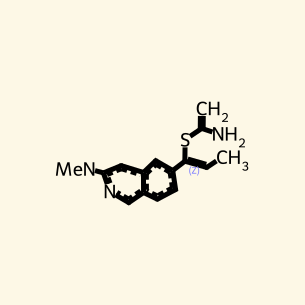 C=C(N)S/C(=C\C)c1ccc2cnc(NC)cc2c1